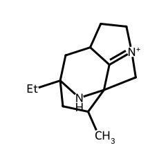 CCC12CC3CC[N+]4=C3C(C4)(N1)C(C)C2